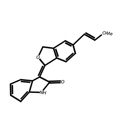 COC=Cc1ccc2c(c1)CO/C2=C1/C(=O)Nc2ccccc21